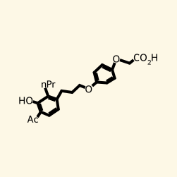 CCCc1c(CCCOc2ccc(OCC(=O)O)cc2)ccc(C(C)=O)c1O